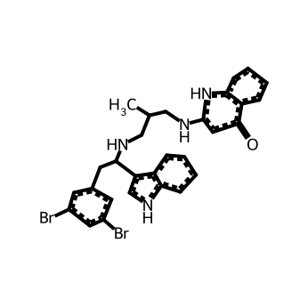 CC(CNc1cc(=O)c2ccccc2[nH]1)CNC(Cc1cc(Br)cc(Br)c1)c1c[nH]c2ccccc12